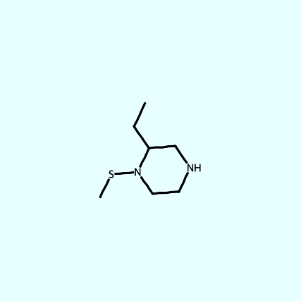 CCC1CNCCN1SC